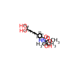 COC(=O)[C@@H](NC(=O)c1ccc(C#CC#CC(O)CO)cc1)C(C)(C)O